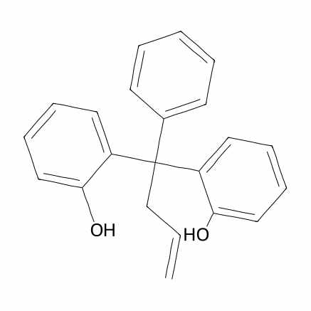 C=CCC(c1ccccc1)(c1ccccc1O)c1ccccc1O